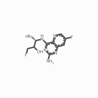 CCCC[C@@H](Nc1nc(N)nc2cc(F)cnc12)C(O)CF